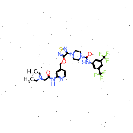 CCN(CC)CC(=O)Nc1cc(COc2nsnc2N2CCN(C(=O)Nc3cc(C(F)(F)F)cc(C(F)(F)F)c3)CC2)ccn1